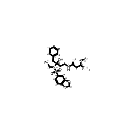 CC(=O)SC(C)CC(=O)NCCC(O)(Cc1ccccc1)N(CC(C)C)S(=O)(=O)c1ccc2c(c1)OCO2